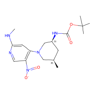 CNc1cc(N2C[C@H](C)C[C@H](NC(=O)OC(C)(C)C)C2)c([N+](=O)[O-])cn1